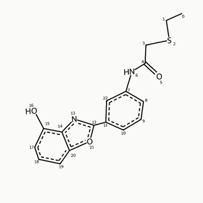 CCSCC(=O)Nc1cccc(-c2nc3c(O)cccc3o2)c1